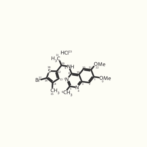 COc1cc2nc(C)nc(NC(C)c3cc(C)c(Br)s3)c2cc1OC.Cl